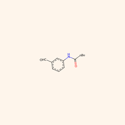 CCCCC(=O)Nc1cccc([C]=O)c1